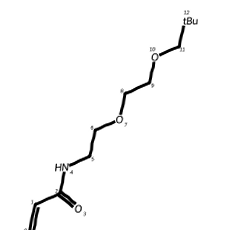 C=CC(=O)NCCOCCOCC(C)(C)C